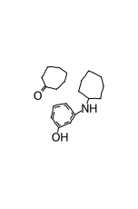 O=C1CCCCCC1.Oc1cccc(NC2CCCCCC2)c1